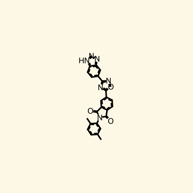 Cc1ccc(C)c(N2C(=O)c3ccc(-c4nc(-c5ccc6[nH]nnc6c5)no4)cc3C2=O)c1